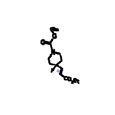 CCOC(=O)/C=C/C1(F)CCN(C(=O)OC(C)(C)C)CC1